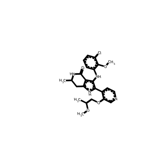 COc1c(Cl)cccc1Nc1c(-c2ccncc2OCC(C)OC)[nH]c2c1C(=O)NC(C)C2